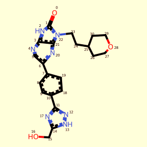 O=c1[nH]c2ncc(-c3ccc(-c4n[nH]c(CO)n4)cc3)nc2n1CCC1CCOCC1